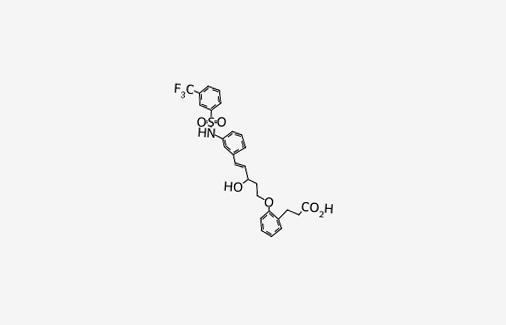 O=C(O)CCc1ccccc1OCCC(O)/C=C/c1cccc(NS(=O)(=O)c2cccc(C(F)(F)F)c2)c1